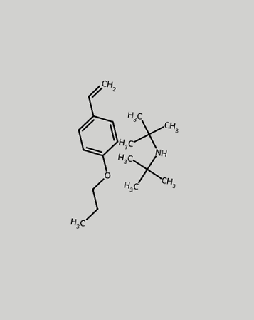 C=Cc1ccc(OCCC)cc1.CC(C)(C)NC(C)(C)C